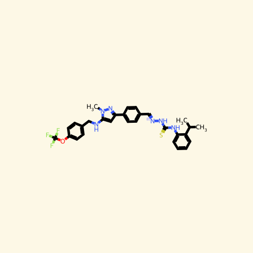 CC(C)c1ccccc1NC(=S)N/N=C/c1ccc(-c2cc(NCc3ccc(OC(F)(F)F)cc3)n(C)n2)cc1